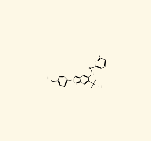 CC(C)(O)c1cc2nn(-c3ccc(CO)cc3)cc2cc1NC(=O)c1cccc(C(F)(F)F)n1